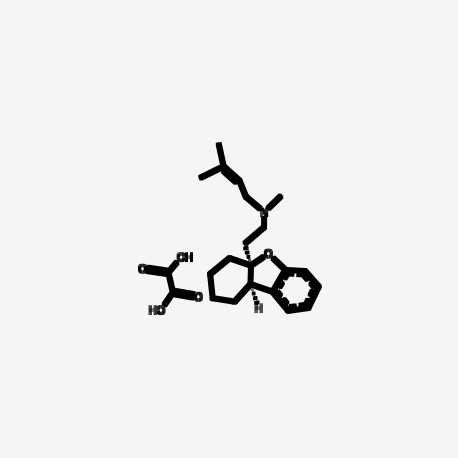 CC(C)=CCN(C)CC[C@@]12CCCC[C@@H]1c1ccccc1O2.O=C(O)C(=O)O